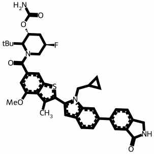 COc1cc(C(=O)N2C[C@H](F)C[C@@H](OC(N)=O)C2C(C)(C)C)cc2sc(-c3cc4ccc(-c5ccc6c(c5)C(=O)NC6)cc4n3CC3CC3)c(C)c12